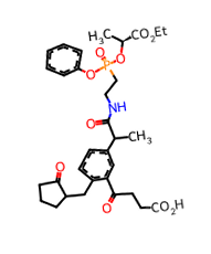 CCOC(=O)[C@H](C)OP(=O)(CCNC(=O)C(C)c1ccc(CC2CCCC2=O)c(C(=O)CCC(=O)O)c1)Oc1ccccc1